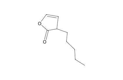 CCCCCC1C=COC1=O